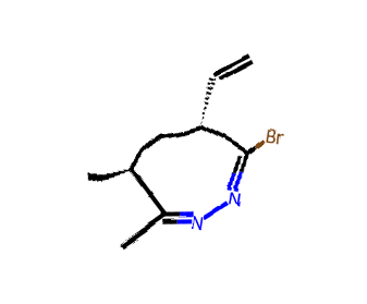 C=C[C@H]1C[C@H](C)C(C)=NN=C1Br